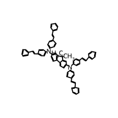 CC1(C)c2cc(N(c3ccc(/C=C/c4ccccc4)cc3)c3ccc(/C=C/c4ccccc4)cc3)ccc2-c2ccc(N(c3ccc(/C=C/c4ccccc4)cc3)c3ccc(/C=C/c4ccccc4)cc3)cc21